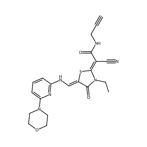 C#CCNC(=O)C(C#N)=c1sc(=CNc2cccc(N3CCOCC3)n2)c(=O)n1CC